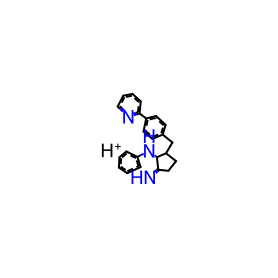 N=C1CCC(Cc2ccc(-c3ccccn3)cc2)C1Nc1ccccc1.[H+]